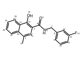 Cc1nc(C(=O)NCc2cccc(F)c2)c(O)c2ncccc12